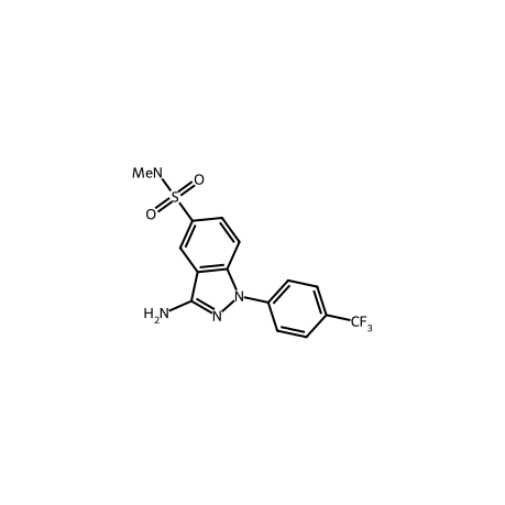 CNS(=O)(=O)c1ccc2c(c1)c(N)nn2-c1ccc(C(F)(F)F)cc1